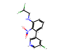 O=[N+]([O-])c1c(NCC(F)F)cccc1-c1cn[c]c(F)c1